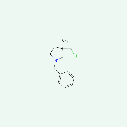 FC(F)(F)C1(CCl)CCN(Cc2ccccc2)C1